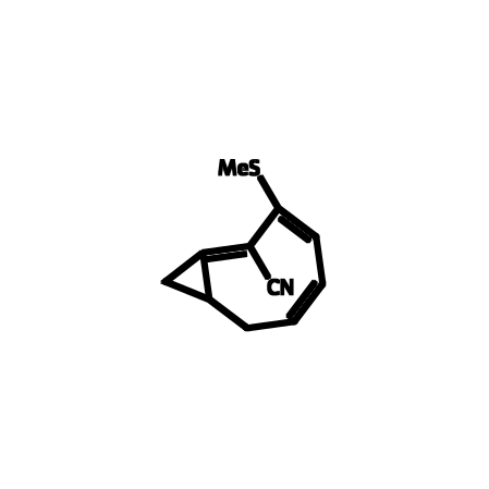 CSC1=C/C=C\CC2C/C2=C\1C#N